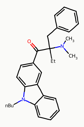 CCCCn1c2ccccc2c2cc(C(=O)C(CC)(Cc3ccccc3)N(C)C)ccc21